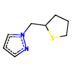 c1cnn(CC2CCCS2)c1